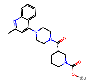 Cc1cc(N2CCN(C(=O)[C@H]3CCCN(C(=O)OC(C)(C)C)C3)CC2)c2ccccc2n1